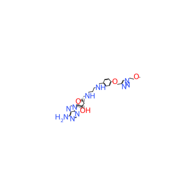 COCCn1cc(COc2ccc(CNCCCNC[C@@H]3C[C@@H](O)[C@H](n4cnc5c(N)ncnc54)O3)cc2)nn1